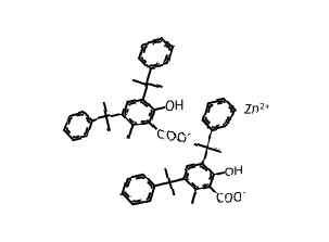 Cc1c(C(C)(C)c2ccccc2)cc(C(C)(C)c2ccccc2)c(O)c1C(=O)[O-].Cc1c(C(C)(C)c2ccccc2)cc(C(C)(C)c2ccccc2)c(O)c1C(=O)[O-].[Zn+2]